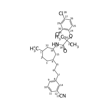 CC1CCC(CCCc2cccc(C#N)c2)CC(NC(=O)C(C)(C)Oc2ccc(Cl)cc2Cl)C1